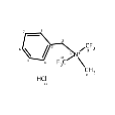 C[N+](Cc1ccccc1)(C(F)(F)F)C(F)(F)F.Cl